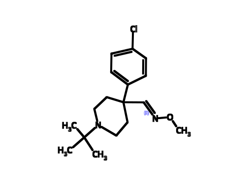 CO/N=C/C1(c2ccc(Cl)cc2)CCN(C(C)(C)C)CC1